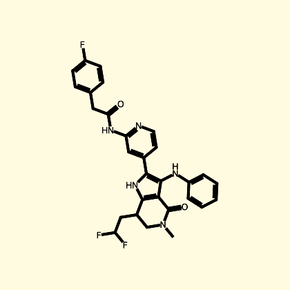 CN1CC(CC(F)F)c2[nH]c(-c3ccnc(NC(=O)Cc4ccc(F)cc4)c3)c(Nc3ccccc3)c2C1=O